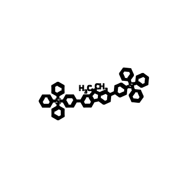 CC1(C)c2cc(-c3ccc([Si](c4ccccc4)(c4ccccc4)c4ccccc4)cc3)ccc2-c2ccc(-c3ccc([Si](c4ccccc4)(c4ccccc4)c4ccccc4)cc3)cc21